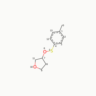 Cc1ccc(SOC2CCOC2)cc1